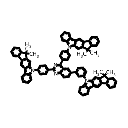 CC1(C)c2ccccc2-c2cc3c4ccccc4n(-c4ccc(-c5nc(-c6ccc(-n7c8ccccc8c8cc9c(cc87)C(C)(C)c7ccccc7-9)cc6)c6cc(-c7cccc(-n8c9ccccc9c9cc%10c(cc98)C(C)(C)c8ccccc8-%10)c7)ccc6n5)cc4)c3cc21